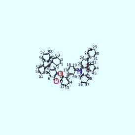 C1=CC2c3c(ccc4c3Oc3c(cccc3-c3cccc(N(C5=CCC(c6ccccc6)C=C5)c5ccccc5-c5ccccc5)c3)O4)C3(c4ccccc4-c4ccccc43)C2C=C1